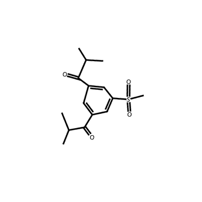 CC(C)C(=O)c1cc(C(=O)C(C)C)cc(S(C)(=O)=O)c1